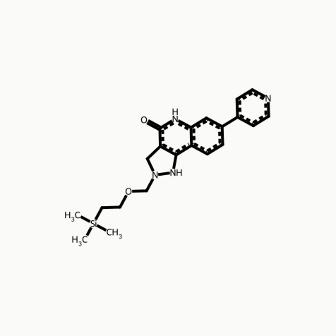 C[Si](C)(C)CCOCN1Cc2c(c3ccc(-c4ccncc4)cc3[nH]c2=O)N1